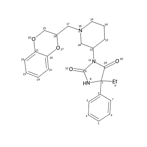 CCC1(c2ccccc2)NC(=O)N(C2CCCN(CC3COc4ccccc4O3)C2)C1=O